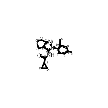 Cc1ccc(-n2nc3c(c2NC(=O)C2CC2)CSC3)c(C)c1